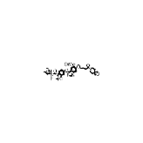 COc1cc2c(Oc3ccc(NC(=O)Nc4cc(C)on4)c(Cl)c3)ncnc2cc1OCCCC(=O)N1CCC2(CC1)COC2